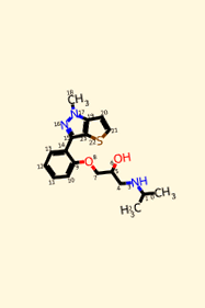 CC(C)NCC(O)COc1ccccc1-c1nn(C)c2ccsc12